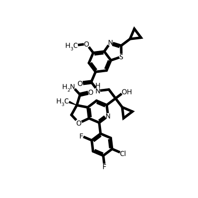 COc1cc(C(=O)NCC(O)(c2cc3c(c(-c4cc(Cl)c(F)cc4F)n2)OC[C@]3(C)C(N)=O)C2CC2)cc2sc(C3CC3)nc12